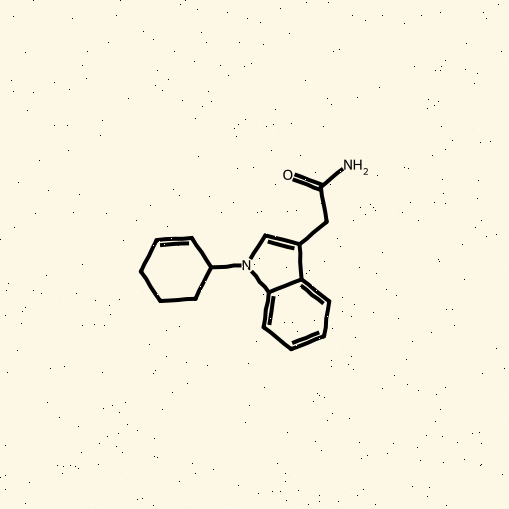 NC(=O)Cc1cn(C2C=CCCC2)c2ccccc12